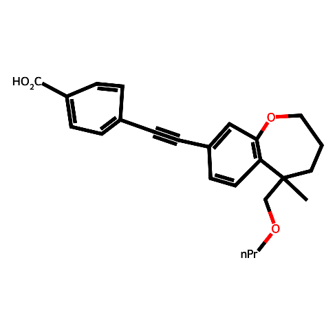 CCCOCC1(C)CCCOc2cc(C#Cc3ccc(C(=O)O)cc3)ccc21